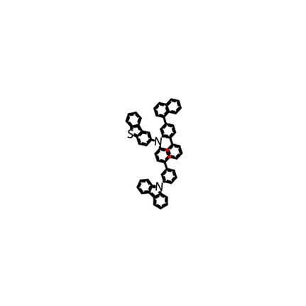 c1ccc(-c2ccc(-c3cccc4ccccc34)cc2N(c2ccc(-c3cccc(-n4c5ccccc5c5ccccc54)c3)cc2)c2ccc3sc4ccccc4c3c2)cc1